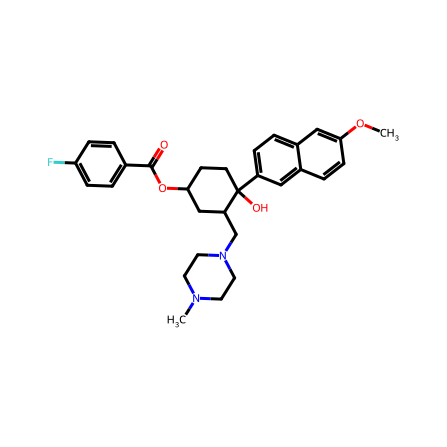 COc1ccc2cc(C3(O)CCC(OC(=O)c4ccc(F)cc4)CC3CN3CCN(C)CC3)ccc2c1